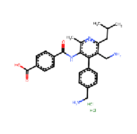 Cc1nc(CC(C)C)c(CN)c(-c2ccc(CN)cc2)c1NC(=O)c1ccc(C(=O)O)cc1.Cl.Cl